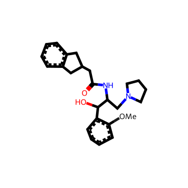 COc1ccccc1C(O)C(CN1CCCC1)NC(=O)CC1Cc2ccccc2C1